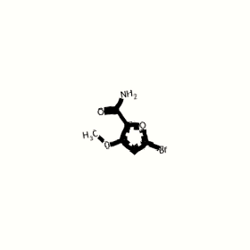 COc1cc(Br)oc1C(N)=O